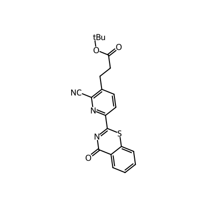 CC(C)(C)OC(=O)CCc1ccc(-c2nc(=O)c3ccccc3s2)nc1C#N